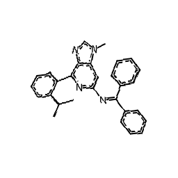 CC(C)c1ccccc1-c1nc(N=C(c2ccccc2)c2ccccc2)cc2c1ncn2C